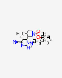 CC1CCN(C(=O)OC(C)(C)C)CC1C1=CC(C#N)=NC2=NCN(C)N12